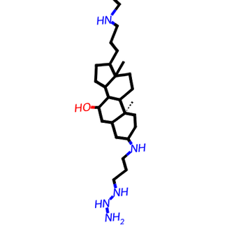 CCNCCCC1CCC2C3C(O)CC4CC(NCCCNNN)CC[C@]4(C)C3CCC12C